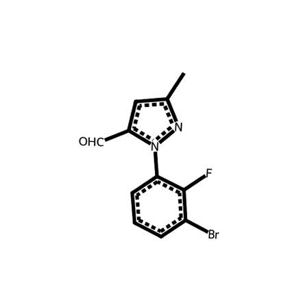 Cc1cc(C=O)n(-c2cccc(Br)c2F)n1